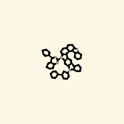 c1ccc(-c2cccc(-n3c4ccccc4c4cc5c6c7c(ccc8sc9ccccc9c87)ccc6n(-c6nc(-c7ccccc7)c7ccccc7n6)c5cc43)c2)cc1